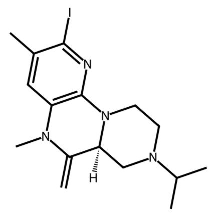 C=C1[C@@H]2CN(C(C)C)CCN2c2nc(I)c(C)cc2N1C